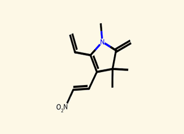 C=CC1=C(/C=C/[N+](=O)[O-])C(C)(C)C(=C)N1C